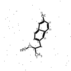 CCCOC(C)Cc1ccc2cc(C(C)=O)ccc2c1